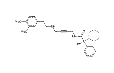 COc1ccc(CCNCC#CCNC(=O)C(O)(c2ccccc2)C2CCCCC2)cc1OC